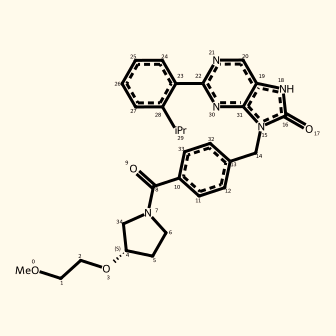 COCCO[C@H]1CCN(C(=O)c2ccc(Cn3c(=O)[nH]c4cnc(-c5ccccc5C(C)C)nc43)cc2)C1